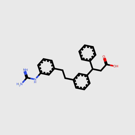 N=C(N)Nc1cccc(CCc2cccc(C(CC(=O)O)c3ccccc3)c2)c1